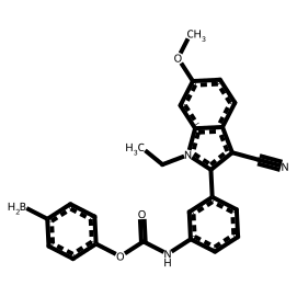 Bc1ccc(OC(=O)Nc2cccc(-c3c(C#N)c4ccc(OC)cc4n3CC)c2)cc1